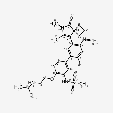 C=Nc1cc(F)c(-c2cnc(OCCNC(C)C)c(NS(C)(=O)=O)c2)cc1C1=C(C)N(C)C(=O)C12CCC2